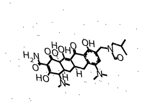 CC(C)CN(C=O)Cc1cc(N(C)C)c2c(c1O)C(=O)C1=C(O)[C@]3(O)C(=O)C(C(N)=O)=C(O)C(N(C)C)[C@@H]3C[C@@H]1C2